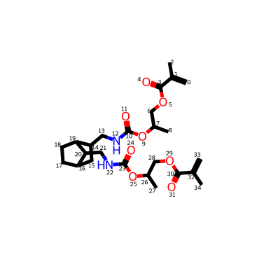 C=C(C)C(=O)OCC(C)OC(=O)NCC1CC2CCC1C2CNC(=O)OC(C)COC(=O)C(=C)C